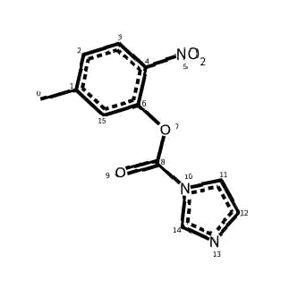 Cc1ccc([N+](=O)[O-])c(OC(=O)n2ccnc2)c1